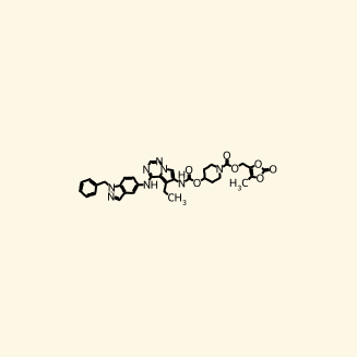 CCc1c(NC(=O)OC2CCN(C(=O)OCc3oc(=O)oc3C)CC2)cn2ncnc(Nc3ccc4c(cnn4Cc4ccccc4)c3)c12